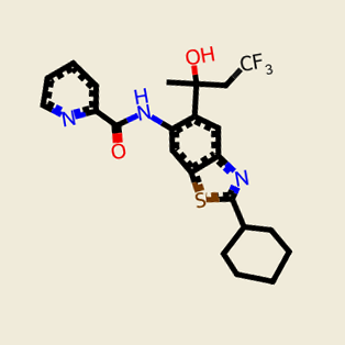 CC(O)(CC(F)(F)F)c1cc2nc(C3CCCCC3)sc2cc1NC(=O)c1ccccn1